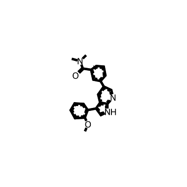 COc1ccccc1-c1c[nH]c2ncc(-c3cc[c]c(C(=O)N(C)C)c3)cc12